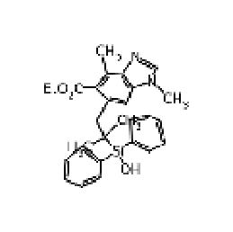 CCOC(=O)c1c(CC(C)(C)[Si](O)(c2ccccc2)c2ccccc2)cc2c(ncn2C)c1C